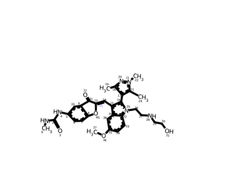 CNC(=O)Nc1ccc2c(c1)C(=O)/C(=C/c1c(-c3c(C)nn(C)c3C)n(CCNCCO)c3ccc(OC)cc13)O2